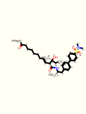 CCCCCCCC(=O)CCCCCC/C=C/[C@H](C(=O)N[C@@H](Cc1ccc(-c2ccc(S(=O)(=O)N(C)C)cc2)cc1)C(=O)O)[C@@](O)(CC(=O)O)C(=O)O